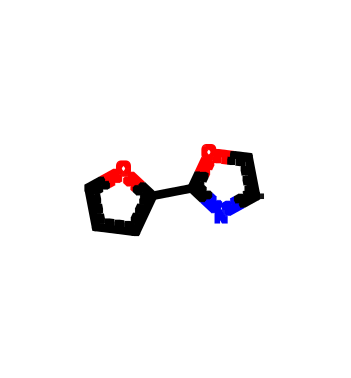 [c]1coc(-c2ccco2)n1